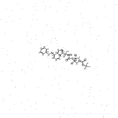 CC(C)(C)OC(=O)N1C[C@@H]2C(C(=O)NC(C)(C)c3ncc4c(SCc5ccccc5)cccn34)[C@@H]2C1